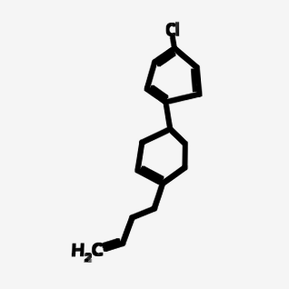 C=CCCC1=CCC(c2ccc(Cl)cc2)CC1